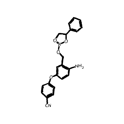 N#Cc1ccc(Oc2ccc(N)c(COB3OCC(c4ccccc4)O3)c2)cc1